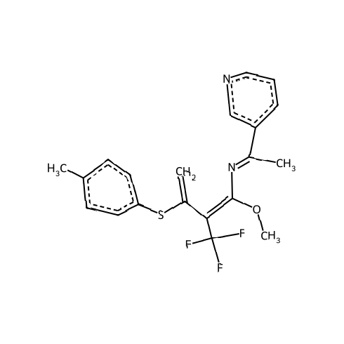 C=C(Sc1ccc(C)cc1)/C(=C(\N=C(/C)c1cccnc1)OC)C(F)(F)F